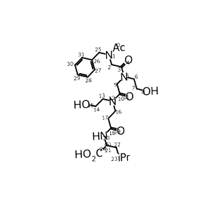 CC(=O)N(CC(=O)N(CCO)CC(=O)N(CCO)CCC(=O)N[C@@H](CC(C)C)C(=O)O)Cc1ccccc1